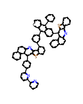 c1ccc(-c2c3ccccc3c(-c3cccc(-c4cccc5sc6c(-c7ccc(-c8cccc(-c9ccccn9)n8)cc7)c7c(ccc8ccccc87)nc6c45)c3)c3ccc(-c4c5sc6ccccc6c5nc5ccc6ccccc6c45)cc23)cc1